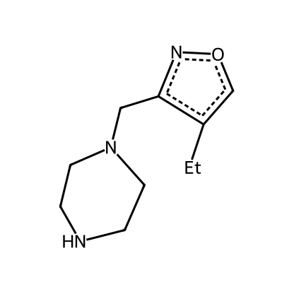 CCc1conc1CN1CCNCC1